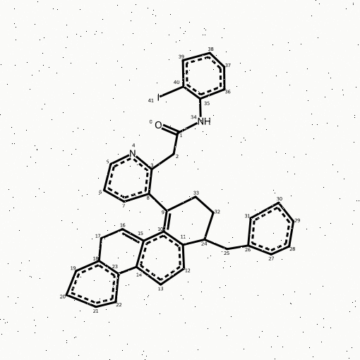 O=C(Cc1ncccc1C1=c2c(ccc3c2=CCc2ccccc2-3)C(Cc2ccccc2)CC1)Nc1ccccc1I